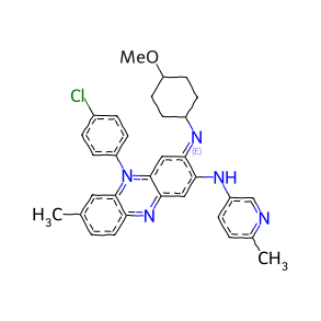 COC1CCC(/N=c2\cc3n(-c4ccc(Cl)cc4)c4cc(C)ccc4nc-3cc2Nc2ccc(C)nc2)CC1